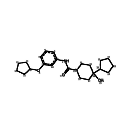 O=C(Nc1cccc(OC2CCCC2)c1)N1CCC(O)(C2CCCC2)CC1